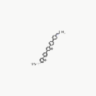 C/C=C/C1CCC(C2CC=C(c3ccc(-c4ccc(-c5ccc(CCCCC)c(F)c5F)cc4)cc3F)CC2)CC1